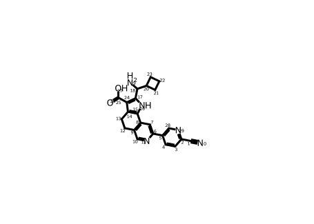 N#Cc1ccc(-c2cc3c(cn2)CCc2c-3[nH]c(C(N)C3CCC3)c2C(=O)O)cn1